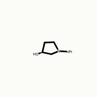 CCCN1CC[C@H](O)C1